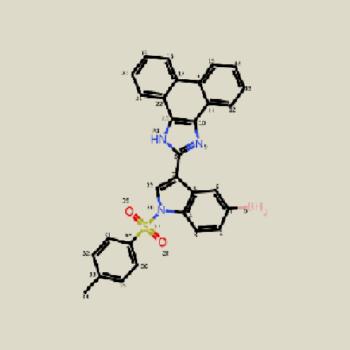 Bc1ccc2c(c1)c(-c1nc3c4ccccc4c4ccccc4c3[nH]1)cn2S(=O)(=O)c1ccc(C)cc1